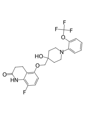 O=C1CCc2c(OCC3(O)CCN(c4ccccc4OC(F)(F)F)CC3)ccc(F)c2N1